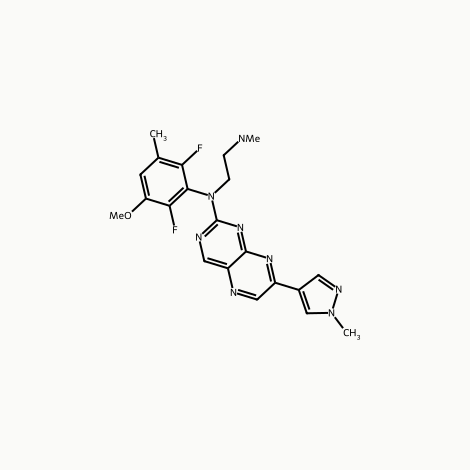 CNCCN(c1ncc2ncc(-c3cnn(C)c3)nc2n1)c1c(F)c(C)cc(OC)c1F